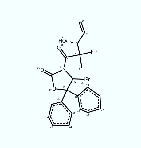 C=C[C@@H](O)C(C)(F)C(=O)N1C(=O)OC(c2ccccc2)(c2ccccc2)C1C(C)C